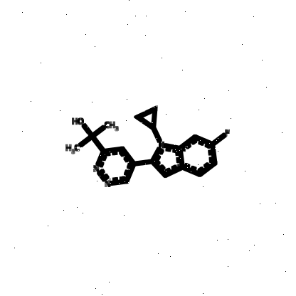 CC(C)(O)c1cc(-c2cc3ccc(F)cc3n2C2CC2)cnn1